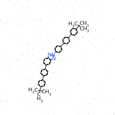 CC(C)(C)c1ccc(-c2ccc(-c3ccc(-n4nc5ccc(-c6ccc(-c7ccc(C(C)(C)C)cc7)cc6)cc5n4)cc3)cc2)cc1